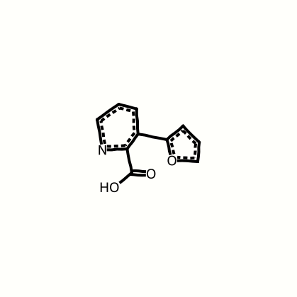 O=C(O)c1ncccc1-c1ccco1